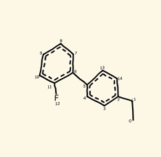 C[CH]c1ccc(-c2ccccc2F)cc1